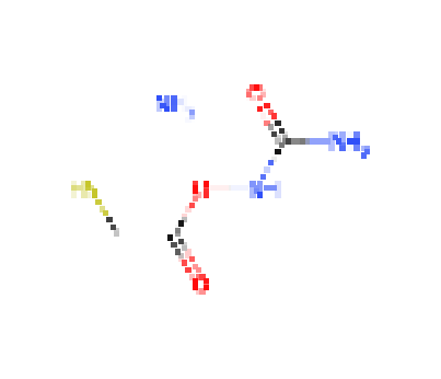 N.NC(=O)NOC(=O)CS